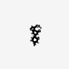 Cc1coc2c1C(=O)CC(c1ccc(F)cc1F)C2